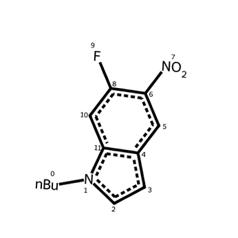 CCCCn1ccc2cc([N+](=O)[O-])c(F)cc21